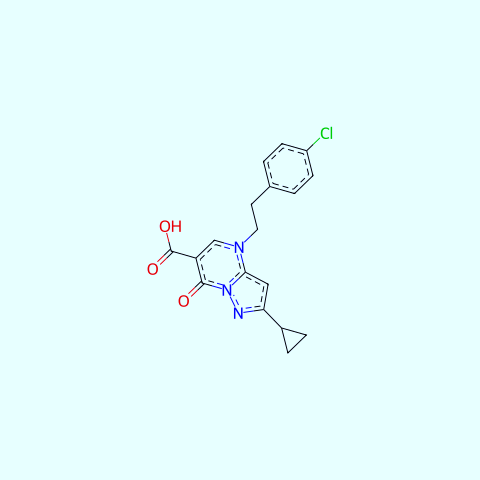 O=C(O)c1cn(CCc2ccc(Cl)cc2)c2cc(C3CC3)nn2c1=O